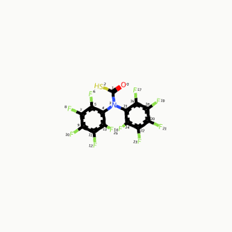 O=C(S)N(c1c(F)c(F)c(F)c(F)c1F)c1c(F)c(F)c(F)c(F)c1F